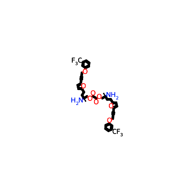 C[C@@](N)(CCc1ccc(C#CCOc2cccc(C(F)(F)F)c2)o1)COC(=O)C(=O)OC[C@](C)(N)CCc1ccc(C#CCOc2cccc(C(F)(F)F)c2)o1